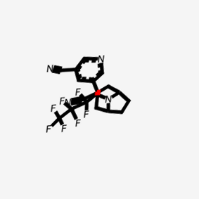 N#Cc1cncc(C2(C#N)CC3CCC(C2)N3CC(F)(F)C(F)(F)C(F)(F)F)c1